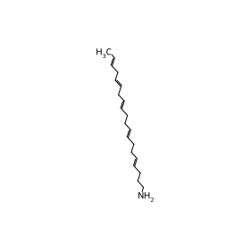 CC=CCC=CCC=CCCC=CCCC=CCCCN